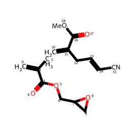 C=C(C)C(=O)OCC1CO1.C=C(CC=CC#N)C(=O)OC